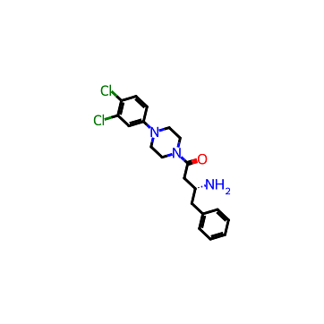 N[C@@H](CC(=O)N1CCN(c2ccc(Cl)c(Cl)c2)CC1)Cc1ccccc1